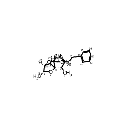 B[C@@H]1O[C@@]2(C(C)C(=O)OCc3ccccc3)C(C)[C@@H]1OC2(C)C